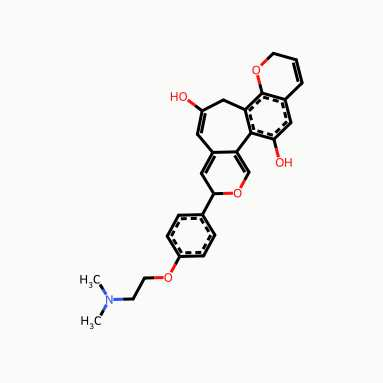 CN(C)CCOc1ccc(C2C=C3C=C(O)Cc4c5c(cc(O)c4C3=CO2)C=CCO5)cc1